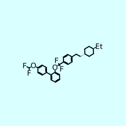 CC[C@H]1CC[C@H](CCc2ccc(C(F)(F)Oc3ccccc3-c3ccc(OC(F)F)cc3)cc2)CC1